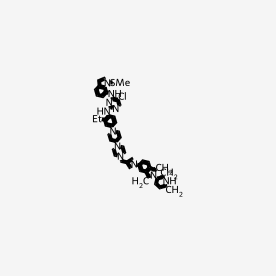 C=C1CCC(n2c(=C)c3ccc(N4CC(CN5CCN(C6CCN(c7ccc(Nc8ncc(Cl)c(Nc9cccc%10c9N(SC)CC%10)n8)c(CC)c7)CC6)CC5)C4)cc3c2=C)C(=C)N1